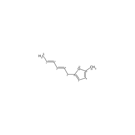 CC=CC=CCc1ccc(C)o1